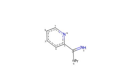 CCCC(=N)c1cc[c]cn1